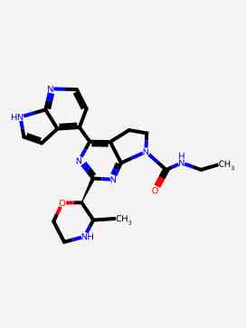 CCNC(=O)N1CCc2c(-c3ccnc4[nH]ccc34)nc([C@@H]3OCCNC3C)nc21